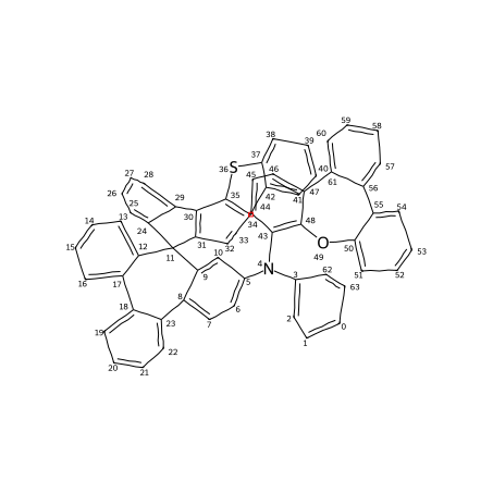 c1ccc(N(c2ccc3c(c2)C2(c4ccccc4-c4ccccc4-3)c3ccccc3-c3c2ccc2c3sc3ccccc32)c2cccc3c2Oc2ccccc2-c2ccccc2-3)cc1